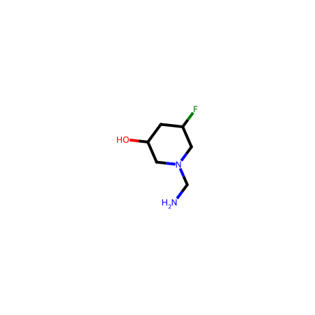 NCN1CC(O)CC(F)C1